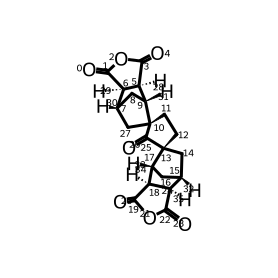 O=C1OC(=O)[C@@H]2[C@H]1[C@@H]1C[C@H]2[C@@]2(CC[C@]3(C[C@H]4C[C@@H]3[C@@H]3C(=O)OC(=O)[C@H]43)C2=O)C1